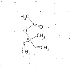 C=C[Si](C)(C=C)OC(C)=O